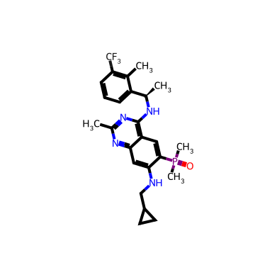 Cc1nc(N[C@H](C)c2cccc(C(F)(F)F)c2C)c2cc(P(C)(C)=O)c(NCC3CC3)cc2n1